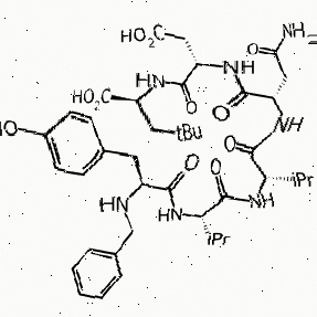 CC(C)[C@H](NC(=O)[C@H](Cc1ccc(O)cc1)NCc1ccccc1)C(=O)N[C@H](C(=O)N[C@@H](CC(N)=O)C(=O)N[C@@H](CC(=O)O)C(=O)N[C@@H](CC(C)(C)C)C(=O)O)C(C)C